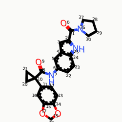 O=C(c1cc2cc(NC(=O)C3(c4ccc5c(c4)OCO5)CC3)ccc2[nH]1)N1CCCC1